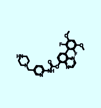 COc1cc(OC)c(F)c(-c2ccc(OC(=O)Nc3ccc(CN4CCNCC4)cn3)c3nccnc23)c1F